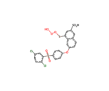 O=S(=O)(O)c1cc(SOOO)c2cc(Oc3ccc(S(=O)(=O)c4cc(Cl)ccc4Cl)cc3)ccc2c1